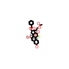 CC(=O)OCC(=O)[C@@]1(OC(=O)c2ccccc2)C(C)C[C@H]2[C@@H]3C(Br)CC4=CC(=O)C=C[C@]4(C)[C@@]3(Br)C(F)C[C@@]21C